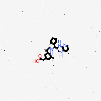 Cc1cc(CC(=O)O)cc([C@H](C)CN[C@H](c2ccccc2)[C@H]2CNc3cccnc3N2)c1